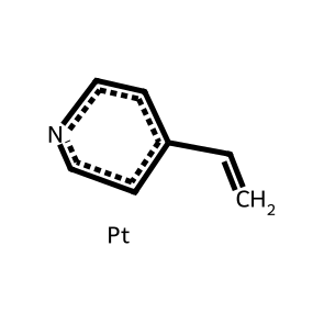 C=Cc1ccncc1.[Pt]